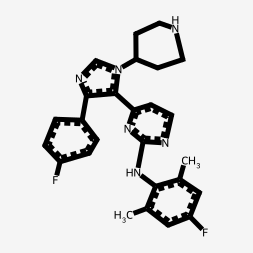 Cc1cc(F)cc(C)c1Nc1nccc(-c2c(-c3ccc(F)cc3)ncn2C2CCNCC2)n1